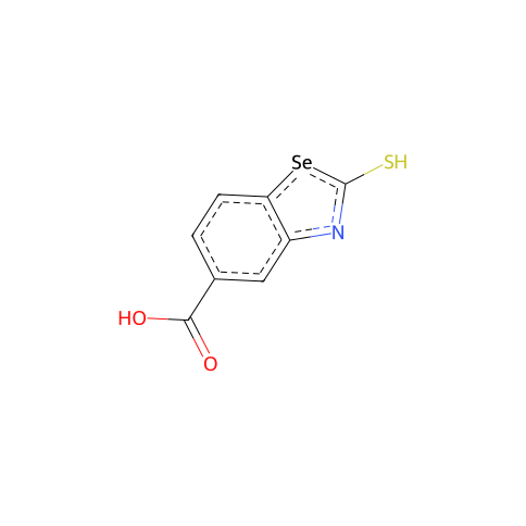 O=C(O)c1ccc2[se]c(S)nc2c1